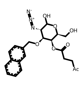 CC(=O)CCC(=O)O[C@H]1[C@@H](OCc2ccc3ccccc3c2)[C@H](N=[N+]=[N-])C(O)O[C@H]1CO